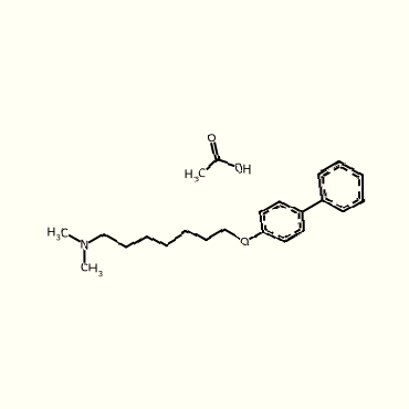 CC(=O)O.CN(C)CCCCCCCOc1ccc(-c2ccccc2)cc1